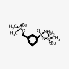 CC(C)(C)[Si](C)(C)N=S(N)(=O)c1cccc(CO[Si](C)(C)C(C)(C)C)c1